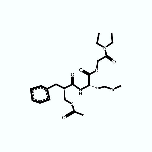 CCN(CC)C(=O)COC(=O)[C@H](CCSC)NC(=O)[C@@H](CSC(C)=O)Cc1ccccc1